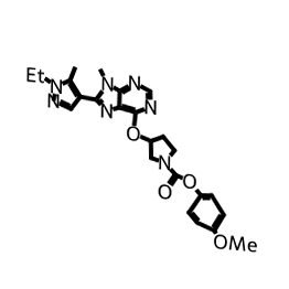 CCn1ncc(-c2nc3c(OC4CCN(C(=O)Oc5ccc(OC)cc5)C4)ncnc3n2C)c1C